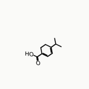 CC(C)C1=CC=C(C(=O)O)CC1